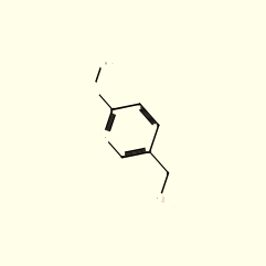 CCCCOc1ccc(CN)cn1